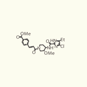 CCc1[nH]c(C(=O)NC2CCN(C(=O)/C=C/c3ccc(C(=O)OC)cc3)CC2OC)nc1Cl